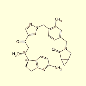 Cc1cc(CN2CC3CC3C2=O)ccc1Cn1cc(C(=O)C[C@H](C)[C@@H]2CCc3nc(N)ccc32)cn1